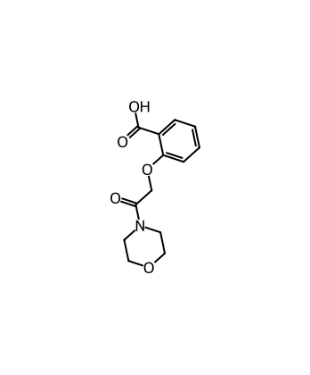 O=C(O)c1ccccc1OCC(=O)N1CCOCC1